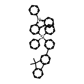 CC1(C)c2ccccc2-c2ccc(-c3cccc([Si](c4ccccc4)(c4ccccc4)c4cccc5c4c4ccccc4n5-c4ccccc4)c3)cc21